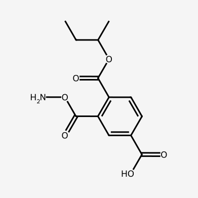 CCC(C)OC(=O)c1ccc(C(=O)O)cc1C(=O)ON